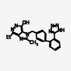 CCc1nnc(O)c2c1nc(C)n2Cc1ccc(-c2ccccc2-c2nnn[nH]2)cc1